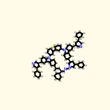 C=N/C=C(\C=C(/C)c1ccc2c(c1)c1cc(-c3cncc(-c4ccccc4)c3)ccc1n2-c1ccc2sc3ccc(-n4c5ccc(-c6cncc(-c7ccccc7)c6)cc5c5cc(-c6cncc(-c7ccccc7)c6)ccc54)cc3c2c1)c1ccccc1